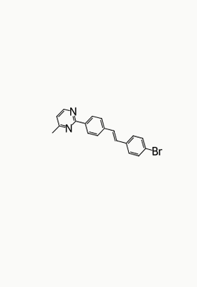 Cc1ccnc(-c2ccc(C=Cc3ccc(Br)cc3)cc2)n1